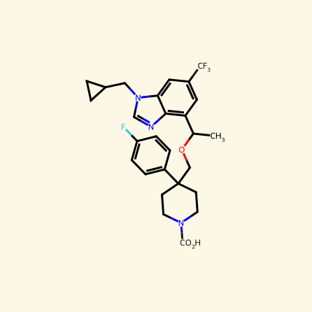 CC(OCC1(c2ccc(F)cc2)CCN(C(=O)O)CC1)c1cc(C(F)(F)F)cc2c1ncn2CC1CC1